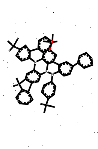 CC(C)(C)c1ccc(N2B3c4cc5c(cc4N(c4ccc(C(C)(C)C)cc4-c4ccccc4)c4cc(C(C)(C)C)cc(c43)-c3cc(-c4ccccc4)ccc32)C(C)(C)c2ccccc2-5)cc1